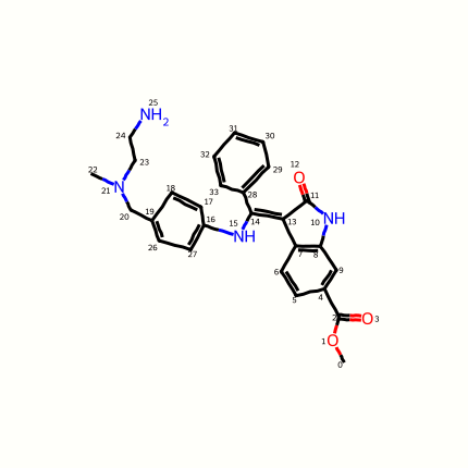 COC(=O)c1ccc2c(c1)NC(=O)C2=C(Nc1ccc(CN(C)CCN)cc1)c1ccccc1